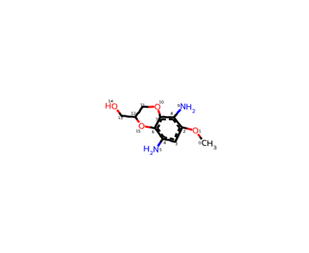 COc1cc(N)c2c(c1N)OCC(CO)O2